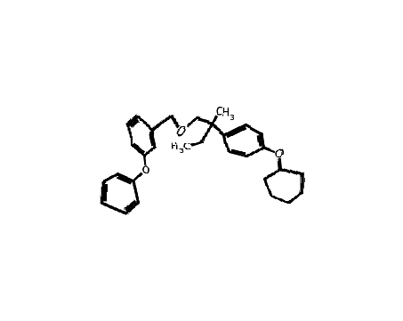 CCC(C)(COCc1cccc(Oc2ccccc2)c1)c1ccc(OC2CCCCC2)cc1